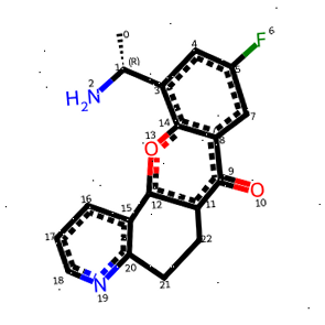 C[C@@H](N)c1cc(F)cc2c(=O)c3c(oc12)-c1cccnc1CC3